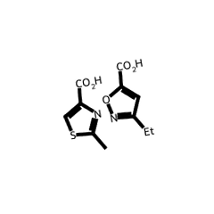 CCc1cc(C(=O)O)on1.Cc1nc(C(=O)O)cs1